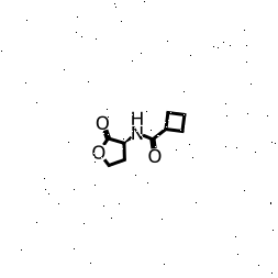 O=C(N[C@H]1CCOC1=O)C1CCC1